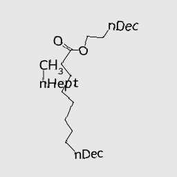 CCCCCCCC.CCCCCCCCCCCCCCCCCC(=O)OCCCCCCCCCCCC